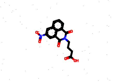 O=C(O)CCCN1C(=O)c2cccc3cc([N+](=O)[O-])cc(c23)C1=O